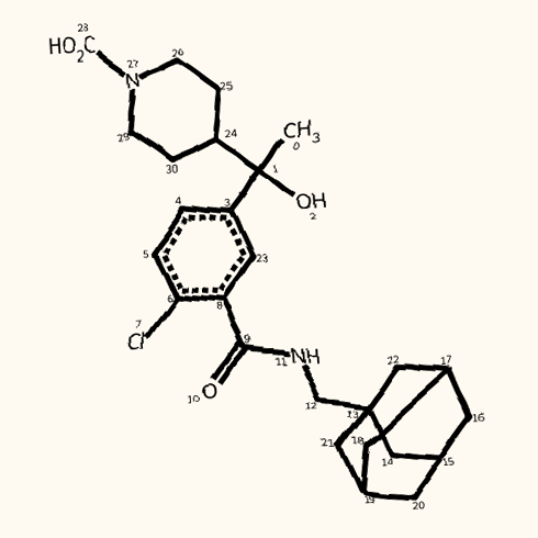 CC(O)(c1ccc(Cl)c(C(=O)NCC23CC4CC(CC(C4)C2)C3)c1)C1CCN(C(=O)O)CC1